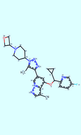 Cc1c(-c2cc(OC(c3ccc(F)cn3)C3CC3)c3c(C#N)cnn3c2)nnn1C1CCN(C2COC2)CC1